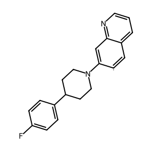 Fc1ccc(C2CCN(c3[c]cc4cccnc4c3)CC2)cc1